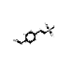 CS(=O)(=O)C=Cc1ccc(C=O)cc1